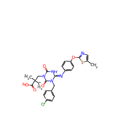 Cc1cnc(Oc2ccc(/N=c3\[nH]c(=O)n(CC(C)(C)C(=O)O)c(=O)n3Cc3ccc(Cl)cc3)cc2)s1